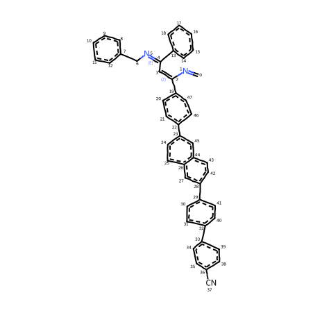 C=N/C(=C\C(=N/Cc1ccccc1)c1ccccc1)c1ccc(-c2ccc3cc(-c4ccc(-c5ccc(C#N)cc5)cc4)ccc3c2)cc1